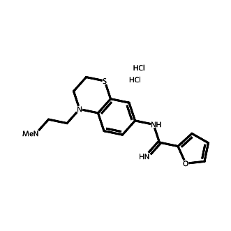 CNCCN1CCSc2cc(NC(=N)c3ccco3)ccc21.Cl.Cl